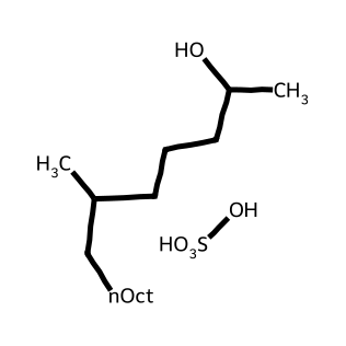 CCCCCCCCCC(C)CCCC(C)O.O=S(=O)(O)O